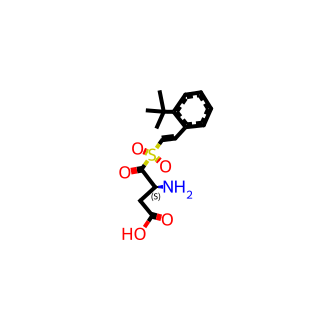 CC(C)(C)c1ccccc1C=CS(=O)(=O)C(=O)[C@@H](N)CC(=O)O